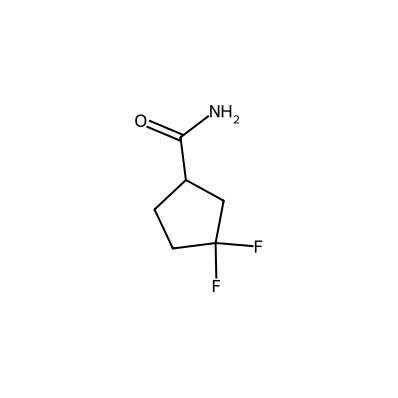 NC(=O)C1CCC(F)(F)C1